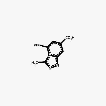 CCCCc1cc(C(=O)O)cc2nnc(C)n12